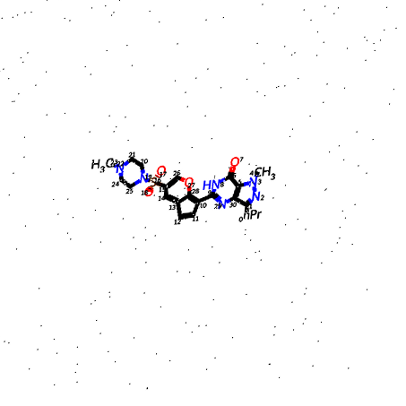 CCCc1nn(C)c2c(=O)[nH]c(-c3ccc4cc(S(=O)(=O)N5CCN(C)CC5)coc3-4)nc12